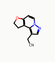 N#CCc1cnn2ccc3c(c12)CCO3